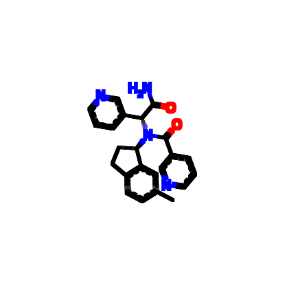 Cc1ccc2c(c1)[C@H](N(C(=O)c1cccnc1)[C@@H](C(N)=O)c1cccnc1)CC2